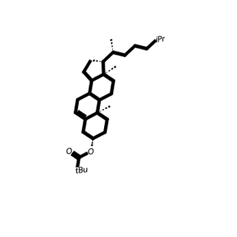 CC(C)CCC[C@@H](C)[C@H]1CCC2C3CC=C4C[C@@H](OC(=O)C(C)(C)C)CC[C@]4(C)C3CC[C@@]21C